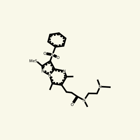 CSc1nn2c(C)c(CCC(=O)N(C)CCN(C)C)c(C)nc2c1S(=O)(=O)c1ccccc1